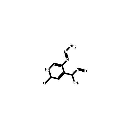 CC(N=O)C1=CC(Cl)NC=C1N=NN